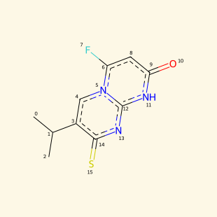 CC(C)c1cn2c(F)cc(=O)[nH]c2nc1=S